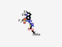 CCC1CCc2cc(N=Nc3nnc(C(=O)OCCOC)s3)c(NS(=O)(=O)C(F)(F)F)cc2N1CC